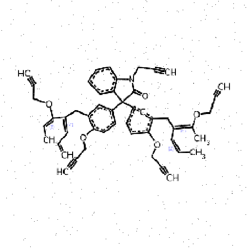 C#CCOC(=C/C)/C(=C\C=C)Cc1cc(C2(c3ccc(OCC#C)c(CC(/C=C\C)=C(/C)OCC#C)c3)C(=O)N(CC#C)c3ccccc32)ccc1OCC#C